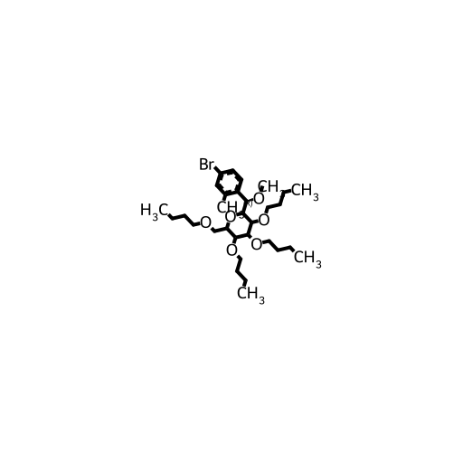 CCCCOCC1OC([C@H](OC)c2ccc(Br)cc2C)C(OCCCC)C(OCCCC)C1OCCCC